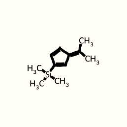 CC(C)=C1[C]=CC([Si](C)(C)C)=C1